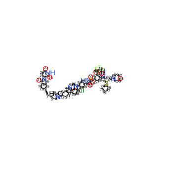 C[C@@]1(CN2CCC(CC#Cc3ccc4c(c3)CN(C3CCC(=O)NC3=O)C4=O)CC2)CCC(c2ccc(Cl)cc2)=C(CN2CCN(c3ccc(C(=O)NS(=O)(=O)c4ccc(N[C@H](CCN5CCCOCC5)CSc5ccccc5)c(S(=O)(=O)C(F)(F)F)c4)cc3)CC2)C1